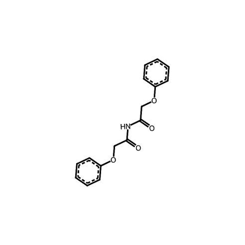 O=C(COc1ccccc1)NC(=O)COc1ccccc1